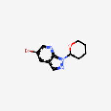 Brc1cnc2c(cnn2C2CCCCO2)c1